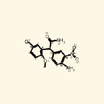 COc1ccc(Cl)cc1C(C(N)=O)c1ccc(N)c([N+](=O)[O-])c1